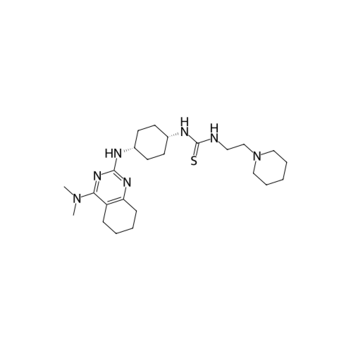 CN(C)c1nc(N[C@H]2CC[C@@H](NC(=S)NCCN3CCCCC3)CC2)nc2c1CCCC2